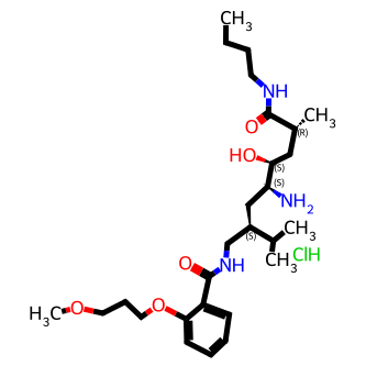 CCCCNC(=O)[C@H](C)C[C@H](O)[C@@H](N)C[C@H](CNC(=O)c1ccccc1OCCCOC)C(C)C.Cl